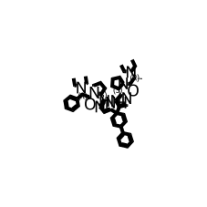 CCN(CC)[C@H](C)C(=O)N1CCC[C@H]1c1ncc(C2(c3cnc([C@@H]4CCCN4C(=O)[C@@H](c4ccccc4)N(CC)CC)[nH]3)C=CC(c3ccccc3)C=C2)[nH]1